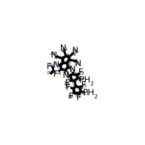 C=C(F)/C(F)=N\c1c(C)c2nc3c(F)c(-c4c(F)c(F)c(F)c(P)c4F)c(P)c(F)c3nc2c2c(C#N)c(C#N)c(C#N)c(C#N)c12